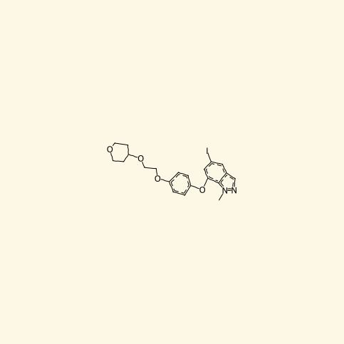 Cn1ncc2cc(I)cc(Oc3ccc(OCCOC4CCOCC4)cc3)c21